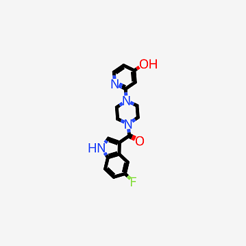 O=C(c1c[nH]c2ccc(F)cc12)N1CCN(c2cc(O)ccn2)CC1